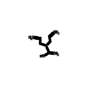 C=CCN(CC=C)C(=C)CCC